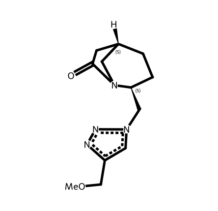 COCc1cn(C[C@@H]2CC[C@H]3CC(=O)N2C3)nn1